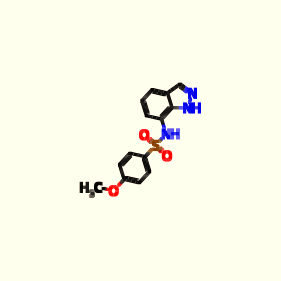 COc1ccc(S(=O)(=O)Nc2cccc3cn[nH]c23)cc1